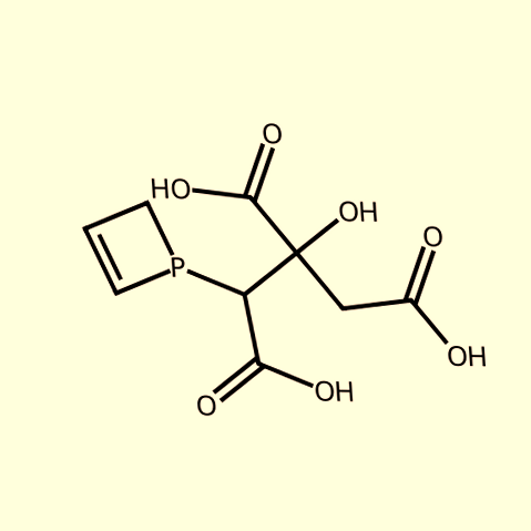 O=C(O)CC(O)(C(=O)O)C(C(=O)O)P1C=CC1